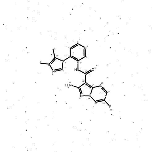 Cc1ncn(-c2ccncc2NC(=O)c2c(N)nn3cc(F)cnc23)c1C